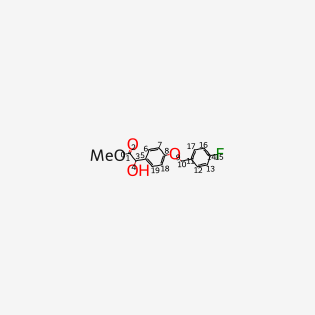 COC(=O)C(O)c1ccc(OCc2ccc(F)cc2)cc1